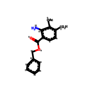 CC(=O)Oc1c(C(=O)O)ccc(C(=O)OCc2ccccc2)c1N